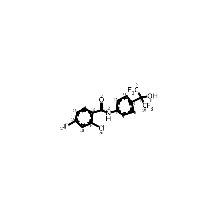 O=C(Nc1ccc(C(O)(C(F)(F)F)C(F)(F)F)cc1)c1ccc(F)cc1Cl